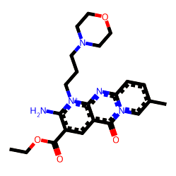 CCOC(=O)c1cc2c(=O)n3cc(C)ccc3nc2[n+](CCCN2CCOCC2)c1N